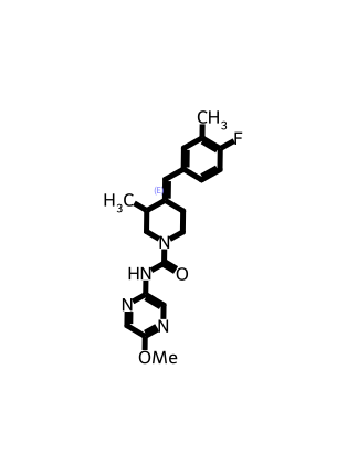 COc1cnc(NC(=O)N2CC/C(=C\c3ccc(F)c(C)c3)C(C)C2)cn1